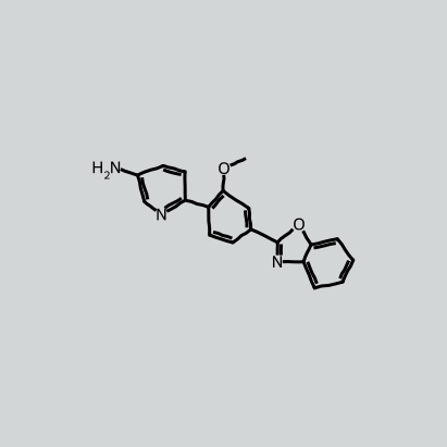 COc1cc(-c2nc3ccccc3o2)ccc1-c1ccc(N)cn1